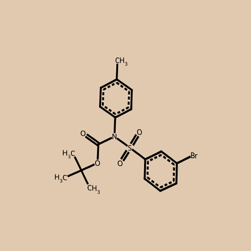 Cc1ccc(N(C(=O)OC(C)(C)C)S(=O)(=O)c2cccc(Br)c2)cc1